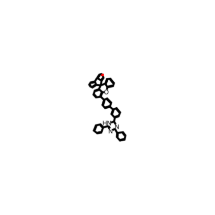 c1ccc(C2=NC(c3cccc(-c4ccc(-c5cccc6c5Oc5ccccc5C65c6ccccc6-c6ccccc65)cc4)c3)NC(c3ccccc3)=N2)cc1